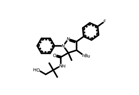 CCCCC1C(c2ccc(F)cc2)=NN(c2ccccc2)C1(C)C(=O)NC(C)(C)CO